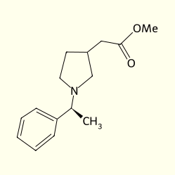 COC(=O)CC1CCN([C@@H](C)c2ccccc2)C1